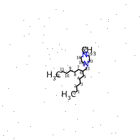 CCCCCCC(CCCCCC)CN1CCN(C)CC1